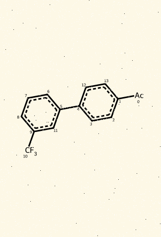 CC(=O)c1ccc(-c2cccc(C(F)(F)F)c2)cc1